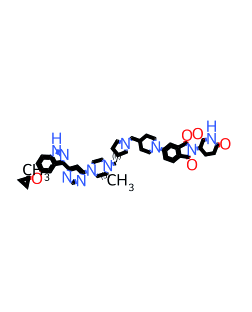 C[C@H]1CN(c2cc(-c3n[nH]c4ccc(OC5(C)CC5)cc34)ncn2)CCN1C[C@@H]1CCN(CC2CCN(c3ccc4c(c3)C(=O)N(C3CCC(=O)NC3=O)C4=O)CC2)C1